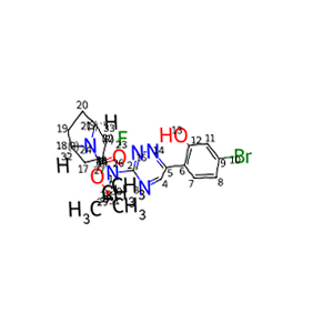 CN(c1ncc(-c2ccc(Br)cc2O)nn1)[C@@H]1C[C@H]2CC[C@@H]([C@@H]1F)N2C(=O)OC(C)(C)C